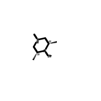 CC(C)N1[C@H](C)C[SH](C)C[C@@H]1C